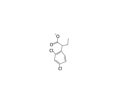 CCC(C(=O)OC)c1ccc(Cl)cc1Cl